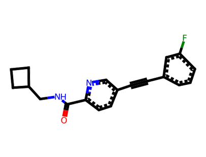 O=C(NCC1CCC1)c1ccc(C#Cc2cccc(F)c2)cn1